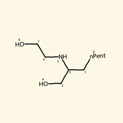 CCCCCCC(CO)NCCO